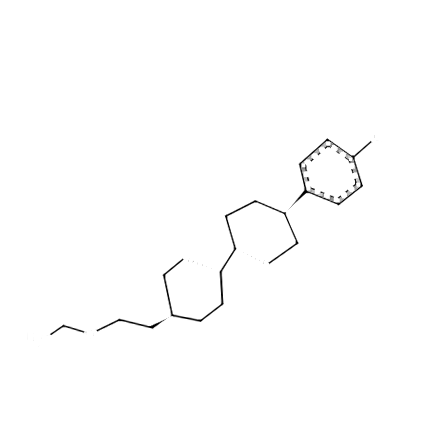 CCOCC[C@H]1CC[C@H]([C@H]2CC[C@H](c3ccc(Cl)cc3)CC2)CC1